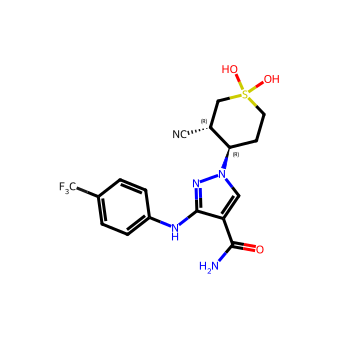 N#C[C@@H]1CS(O)(O)CC[C@H]1n1cc(C(N)=O)c(Nc2ccc(C(F)(F)F)cc2)n1